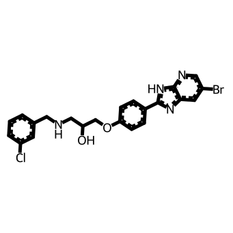 OC(CNCc1cccc(Cl)c1)COc1ccc(-c2nc3cc(Br)cnc3[nH]2)cc1